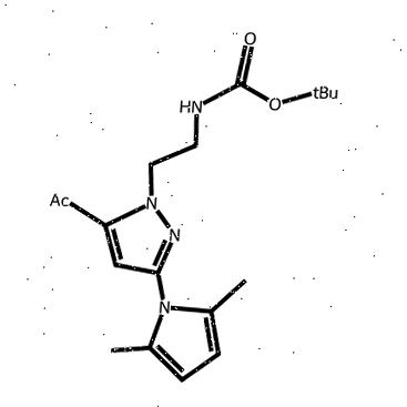 CC(=O)c1cc(-n2c(C)ccc2C)nn1CCNC(=O)OC(C)(C)C